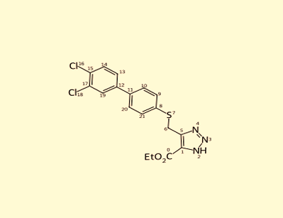 CCOC(=O)c1[nH]nnc1CSc1ccc(-c2ccc(Cl)c(Cl)c2)cc1